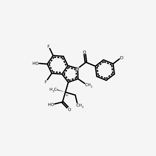 CC[C@@](C)(C(=O)O)c1c(C)n(C(=O)c2cccc(Cl)c2)c2cc(F)c(O)c(F)c12